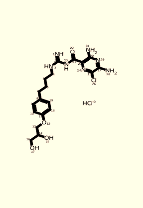 Cl.N=C(NCCCCc1ccc(OCC(O)CO)cc1)NC(=O)c1nc(Cl)c(N)nc1N